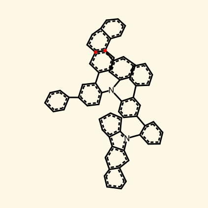 c1ccc(-c2ccc(N(c3cccc(-c4cccc5ccccc45)c3)c3ccc(-c4ccccc4-n4c5ccccc5c5cc6ccccc6cc54)cc3-c3ccccc3)c(-c3ccccc3)c2)cc1